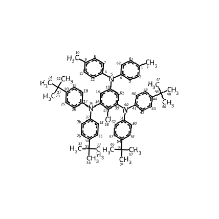 Cc1ccc(N(c2ccc(C)cc2)c2cc(N(c3ccc(C(C)(C)C)cc3)c3ccc(C(C)(C)C)cc3)c(Cl)c(N(c3ccc(C(C)(C)C)cc3)c3ccc(C(C)(C)C)cc3)c2)cc1